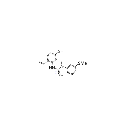 C=Cc1ccc(S)cc1N/C(=N/C)N(C)c1cccc(SC)c1